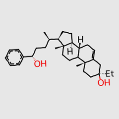 CC[C@]1(O)CC[C@@]2(C)C(=CC[C@@H]3C2CC[C@]2(C)[C@@H]([C@H](C)CC[C@H](O)c4ccccc4)CC[C@@H]32)C1